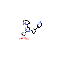 OB(O)c1cccc(-c2nc(-c3cccc(-c4cccnc4)c3)cc(-c3ccccn3)n2)c1